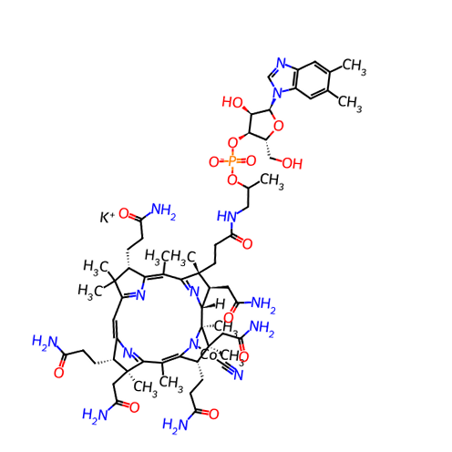 C/C1=C2N=C(/C=C3N=C(/C(C)=C4/[C@@H](CCC(N)=O)[C@](C)(CC(N)=O)[C@](C)([C@@H]5N=C1[C@](C)(CCC(=O)NCC(C)OP(=O)([O-])O[C@H]1[C@@H](O)[C@@H](n6cnc7cc(C)c(C)cc76)O[C@@H]1CO)[C@H]5CC(N)=O)[N]4[Co+][C]#N)[C@@](C)(CC(N)=O)[C@@H]\3CCC(N)=O)C(C)(C)[C@@H]/2CCC(N)=O.[K+]